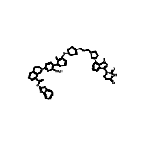 Cc1c(O[C@H]2CC[C@H](CCCN3CC[C@@H](c4cccc5c(C6CCC(=O)NC6=O)nn(C)c45)C3)CC2)cccc1-c1ccc(N2CCc3cccc(C(=O)Nc4nc5ccccc5s4)c3C2)nc1C(=O)O